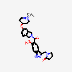 CN1CCC(Oc2ccc3c(c2)CN(C(=O)c2cc4c(CN5CCCC5=O)n[nH]c4cc2O)C3)CC1